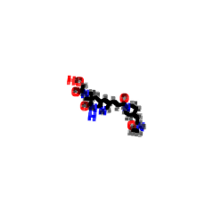 O=C(/C=C/c1cnc2c(c1)CC1(CN(C(=O)CO)C1)C(=O)N2)N1CCC(=Cc2ncco2)CC1